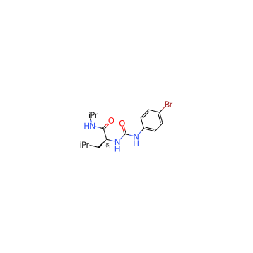 CC(C)C[C@H](NC(=O)Nc1ccc(Br)cc1)C(=O)NC(C)C